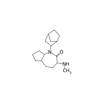 CNC1CCC2CCCC2N(C2CC3CCC2C3)C1=O